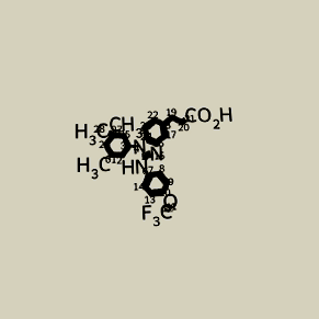 C[C@H]1C[C@H](n2c(Nc3ccc(OC(F)(F)F)cc3)nc3cc(CCC(=O)O)ccc32)CC(C)(C)C1